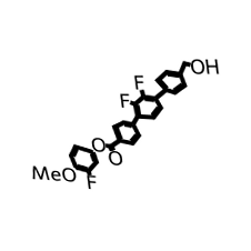 COc1ccc(OC(=O)c2ccc(-c3ccc(-c4ccc(CO)cc4)c(F)c3F)cc2)cc1F